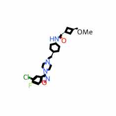 COC[C@H]1C[C@H](CC(=O)N[C@H]2CC[C@H](CCN3CCN(c4noc5cc(F)c(Cl)cc45)CC3)CC2)C1